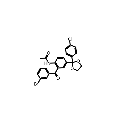 CC(=O)Nc1ccc(C2(c3ccc(Cl)cc3)OCCO2)cc1C(=O)c1cccc(Br)c1